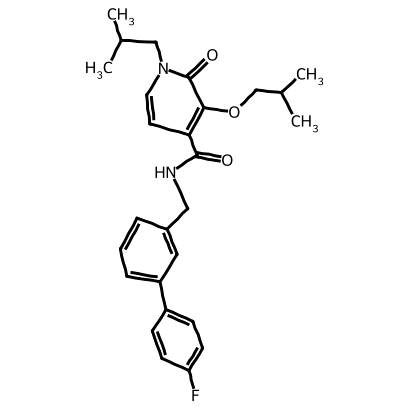 CC(C)COc1c(C(=O)NCc2cccc(-c3ccc(F)cc3)c2)ccn(CC(C)C)c1=O